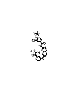 CNC(=O)c1cc(Oc2ccc3nnc(NC(=O)c4ccc(OC(F)(F)F)c(Cl)c4)nc3c2)ccn1